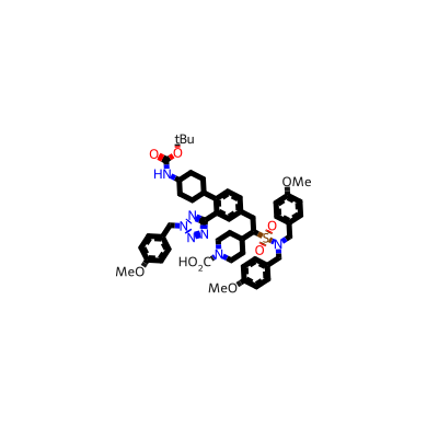 COc1ccc(CN(Cc2ccc(OC)cc2)S(=O)(=O)C(Cc2ccc(C3CCC(NC(=O)OC(C)(C)C)CC3)c(-c3nnn(Cc4ccc(OC)cc4)n3)c2)C2CCN(C(=O)O)CC2)cc1